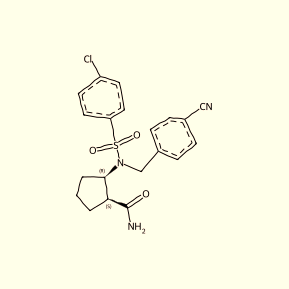 N#Cc1ccc(CN([C@@H]2CCC[C@@H]2C(N)=O)S(=O)(=O)c2ccc(Cl)cc2)cc1